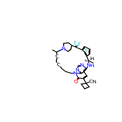 CC1CCCCCCn2c(=O)c(C3(C#N)CCC3)cc3c(ncnc32)N[C@H](C)c2cccc(c2F)C(F)(F)C2CCN1CC2